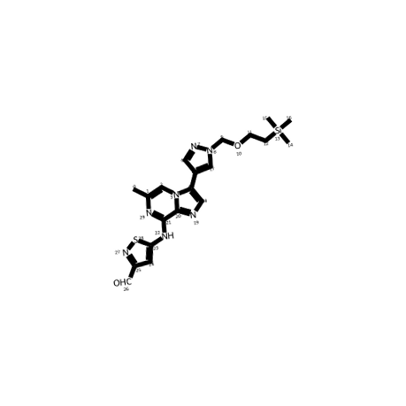 Cc1cn2c(-c3cnn(COCC[Si](C)(C)C)c3)cnc2c(Nc2cc(C=O)ns2)n1